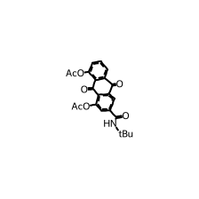 CC(=O)Oc1cccc2c1C(=O)c1c(OC(C)=O)cc(C(=O)NC(C)(C)C)cc1C2=O